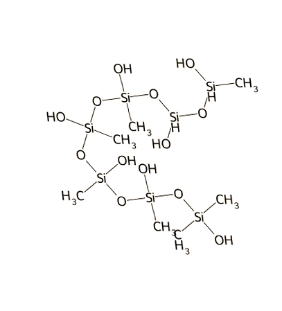 C[SiH](O)O[SiH](O)O[Si](C)(O)O[Si](C)(O)O[Si](C)(O)O[Si](C)(O)O[Si](C)(C)O